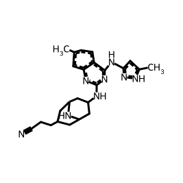 Cc1ccc2c(Nc3cc(C)[nH]n3)nc(NC3CC4CC(CCC#N)CC(C3)N4)nc2c1